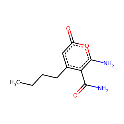 CCCCc1cc(=O)oc(N)c1C(N)=O